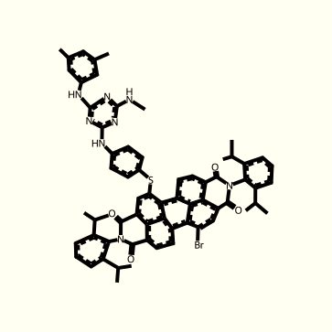 CNc1nc(Nc2ccc(Sc3cc4c5c(ccc6c7c(Br)cc8c9c(ccc(c3c56)c97)C(=O)N(c3c(C(C)C)cccc3C(C)C)C8=O)C(=O)N(c3c(C(C)C)cccc3C(C)C)C4=O)cc2)nc(Nc2cc(C)cc(C)c2)n1